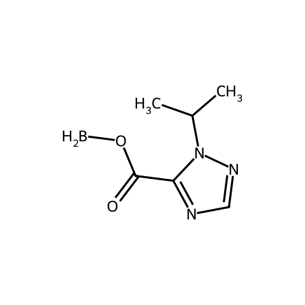 BOC(=O)c1ncnn1C(C)C